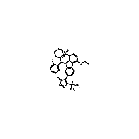 BC(B)(B)c1nnn(C)c1-c1cnc2c3c(OCC)ncc(S(C)(=O)=O)c3n(C(c3ncccc3F)C3CCOCC3)c2c1